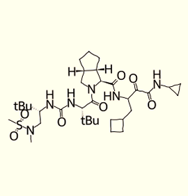 CN(C[C@@H](NC(=O)N[C@H](C(=O)N1C[C@@H]2CCC[C@@H]2[C@H]1C(=O)NC(CC1CCC1)C(=O)C(=O)NC1CC1)C(C)(C)C)C(C)(C)C)S(C)(=O)=O